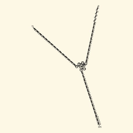 CC#CC#CC#CC#CC#CC#CC#CC#CC#CC#CC#CC#CC#CC#CC#COC(=O)CC(O)(CC(=O)OC#CC#CC#CC#CC#CC#CC#CC#CC#CC#CC#CC#CC#CC#CC#CC)C(=O)OC#CC#CC#CC#CC#CC#CC#CC#CC#CC#CC#CC#CC#CC#CC#CC